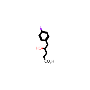 O=C(O)CCC(O)Cc1ccc(I)cc1